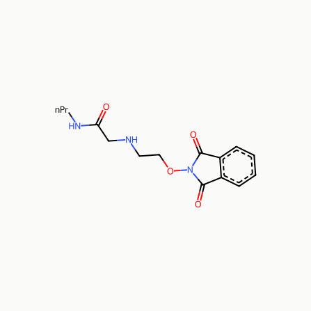 CCCNC(=O)CNCCON1C(=O)c2ccccc2C1=O